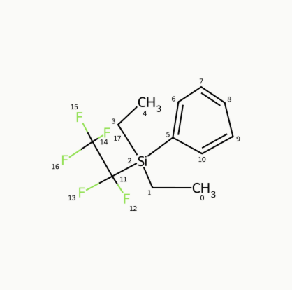 CC[Si](CC)(c1ccccc1)C(F)(F)C(F)(F)F